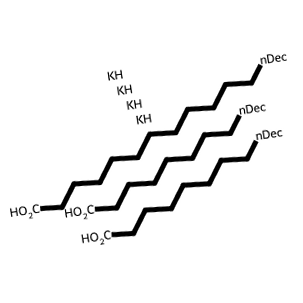 CCCCCCCCCCCCCCCCCC(=O)O.CCCCCCCCCCCCCCCCCC(=O)O.CCCCCCCCCCCCCCCCCCCCCC(=O)O.[KH].[KH].[KH].[KH]